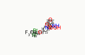 O=C(NO)C1(S(=O)(=O)N2CCC(COCC(F)(F)C(F)(F)C(F)(F)F)CC2)CCOCC1